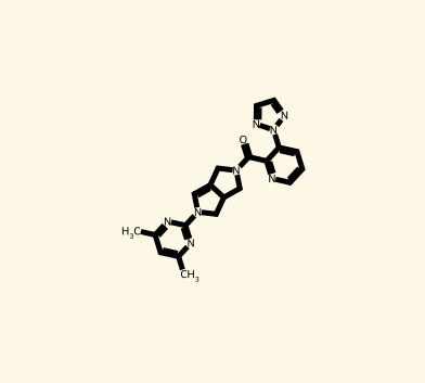 Cc1cc(C)nc(N2C=C3CN(C(=O)c4ncccc4-n4nccn4)CC3C2)n1